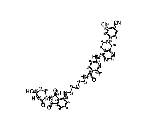 N#Cc1ccc(N2CCc3c(ncnc3Nc3ccc(C(=O)NCCOCCNc4cccc5c4C(=O)N(C4CCC(O)NC4=O)C5=O)c(F)n3)C2)cc1Cl